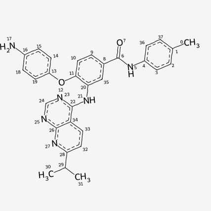 Cc1ccc(NC(=O)c2ccc(Oc3ccc(N)cc3)c(Nc3ncnc4nc(C(C)C)ccc34)c2)cc1